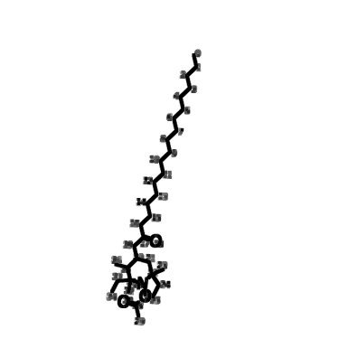 CCCCCCCCCCCCCCCCCC(=O)CC1CC(C)(CC)N(OC(C)=O)C(C)(CC)C1C